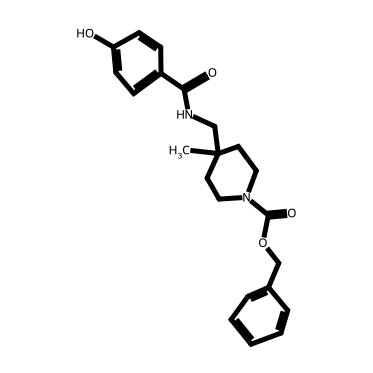 CC1(CNC(=O)c2ccc(O)cc2)CCN(C(=O)OCc2ccccc2)CC1